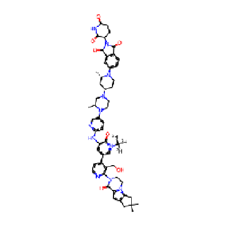 [2H]C([2H])([2H])n1cc(-c2ccnc(N3CCn4c(cc5c4CC(C)(C)C5)C3=O)c2CO)cc(Nc2ccc(N3CCN([C@@H]4CCN(c5ccc6c(c5)C(=O)N(C5CCC(=O)NC5=O)C6=O)[C@@H](C)C4)C[C@@H]3C)cn2)c1=O